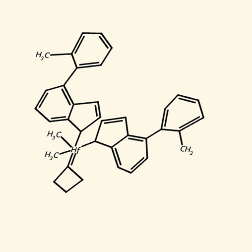 Cc1ccccc1-c1cccc2c1C=C[CH]2[Hf]([CH3])([CH3])(=[C]1CCC1)[CH]1C=Cc2c(-c3ccccc3C)cccc21